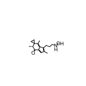 CC1=C(CCCNO)C2=C(C)C3(CC3)[C@H](C)C(=O)C2=C1